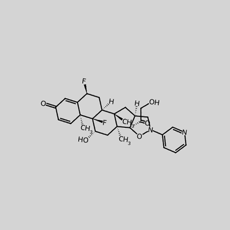 C[C@]12C[C@H](O)[C@@]3(F)[C@@H](C[C@H](F)C4=CC(=O)C=C[C@@]43C)[C@]1(C)C[C@H]1CN(c3cccnc3)O[C@]12C(=O)CO